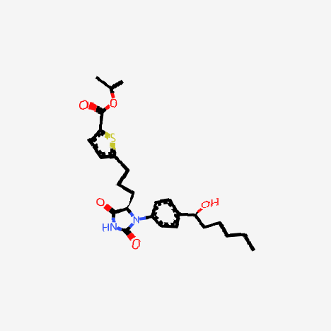 CCCCC[C@H](O)c1ccc(N2C(=O)NC(=O)[C@H]2CCCc2ccc(C(=O)OC(C)C)s2)cc1